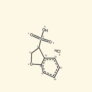 Cl.O=S(=O)(O)C1COc2ccccc21